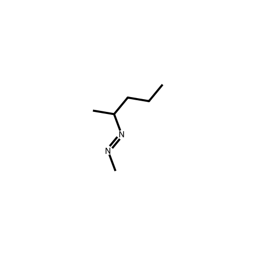 CCCC(C)N=NC